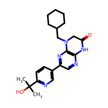 CC(C)(O)c1ccc(-c2cnc3c(n2)N(CC2CCCCC2)CC(=O)N3)cn1